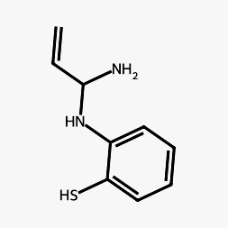 C=CC(N)Nc1ccccc1S